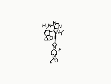 C=CC(=O)N1CC[C@H](N2CC(C#Cc3c(-c4cccc5c4OCO5)c4c(N)ncnc4n3C(C)C)C2)[C@H](F)C1